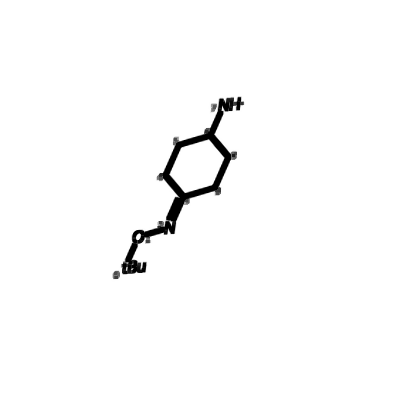 CC(C)(C)ON=C1CCC([NH])CC1